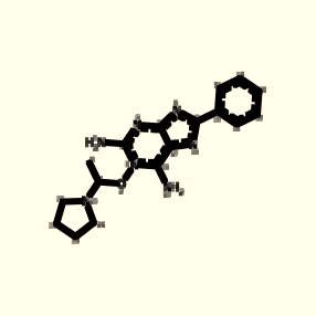 CC(On1c(N)nc2nc(-c3ccccc3)nc-2c1N)N1CCCC1